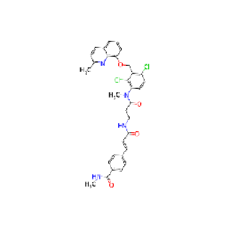 CNC(=O)c1ccc(/C=C/C(=O)NCCC(=O)N(C)c2ccc(Cl)c(COc3cccc4ccc(C)nc34)c2Cl)cc1